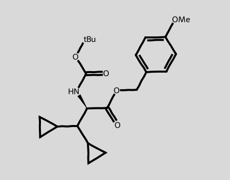 COc1ccc(COC(=O)[C@H](NC(=O)OC(C)(C)C)C(C2CC2)C2CC2)cc1